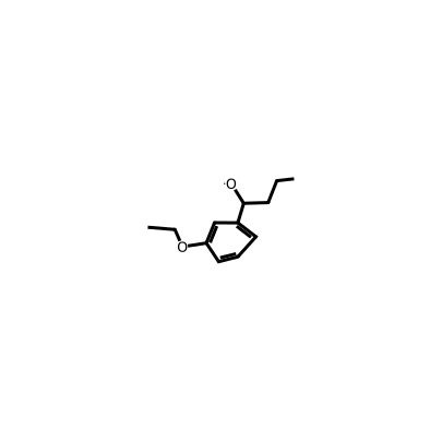 CCCC([O])c1cccc(OCC)c1